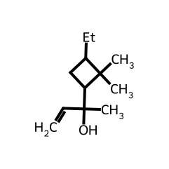 C=CC(C)(O)C1CC(CC)C1(C)C